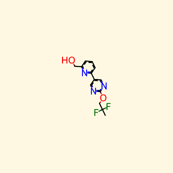 CC(F)(F)COc1ncc(-c2cccc(CO)n2)cn1